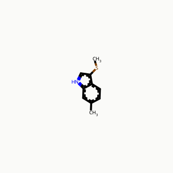 CSc1c[nH]c2cc(C)ccc12